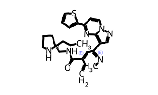 C=C/C(=C\C(=N/C)c1cnn2ccc(-c3cccs3)nc12)C(=O)NC[C@]1(CCC)CCCN1